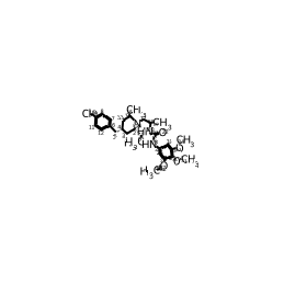 CC[C@@H]1C[C@H](Cc2ccc(Cl)cc2)C[C@@H](C)N1C[C@@H](C)NC(=O)Nc1cc(OC)c(OC)c(OC)c1